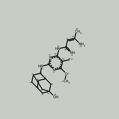 COc1nc(NC2C3CC4CC2CC(O)(C4)C3)nc(NC(=N)/C=C(/C)N)c1F